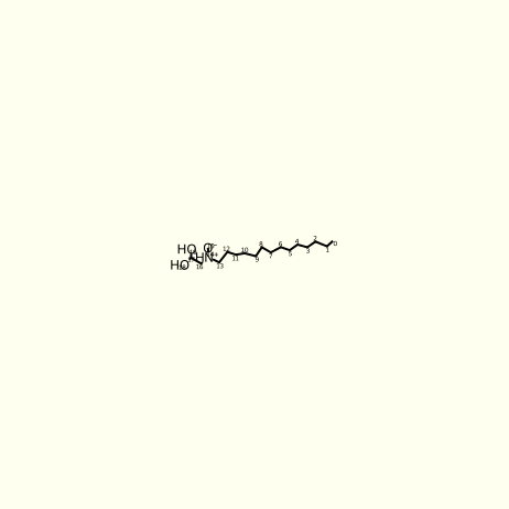 CCCCCCCCCCCCCC[NH+]([O-])CC(O)O